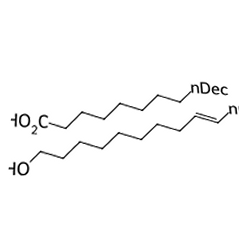 CCCCCCCCC=CCCCCCCCCO.CCCCCCCCCCCCCCCCCC(=O)O